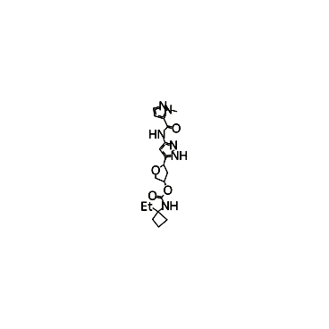 CCC1(NC(=O)O[C@H]2CO[C@@H](c3cc(NC(=O)c4ccnn4C)n[nH]3)C2)CCC1